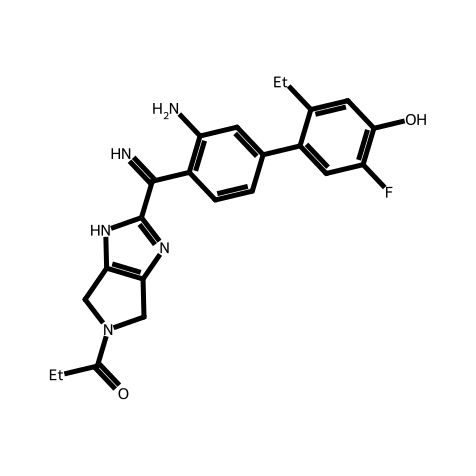 CCC(=O)N1Cc2nc(C(=N)c3ccc(-c4cc(F)c(O)cc4CC)cc3N)[nH]c2C1